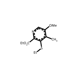 CCOC(=O)c1ncc(OC)c(C)c1SCC